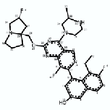 CCc1c(F)ccc2cc(O)cc(-c3ncc4c(N5CCN[C@H](C)C5)nc(OC[C@@]56CCCN5C[C@H](F)C6)nc4c3F)c12